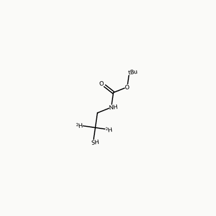 [2H]C([2H])(S)CNC(=O)OC(C)(C)C